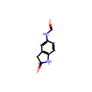 O=CNc1ccc2c(c1)CC(=O)N2